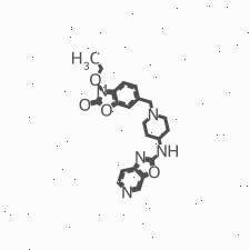 CCOn1c(=O)oc2cc(CN3CCC(Nc4nc5ccncc5o4)CC3)ccc21